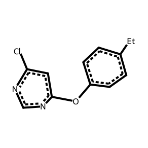 CCc1ccc(Oc2cc(Cl)ncn2)cc1